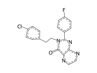 O=c1c2nccnc2nc(-c2ccc(F)cc2)n1CCc1ccc(Cl)cc1